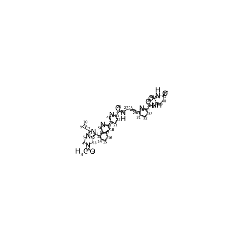 CC(=O)N1CCn2c(C3CC3)nc(-c3cccc4cc(-c5ccc(C(=O)NCC#Cc6cccc(C(=O)NC7CCC(=O)NC7=O)n6)nc5)ncc34)c2C1